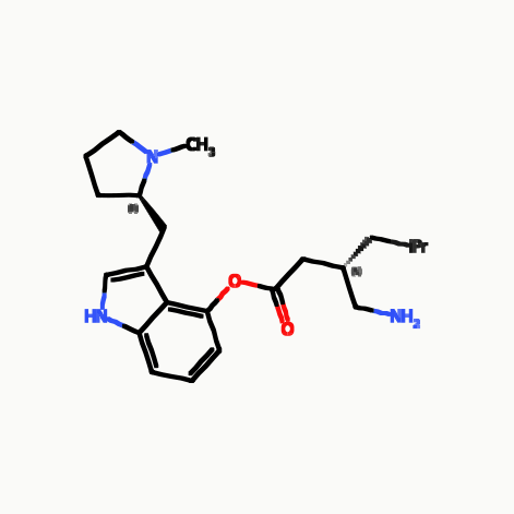 CC(C)C[C@H](CN)CC(=O)Oc1cccc2[nH]cc(C[C@H]3CCCN3C)c12